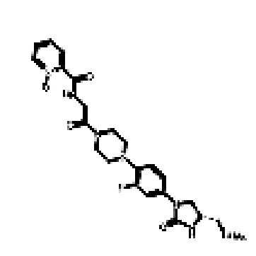 CC(=O)NC[C@H]1CN(c2ccc(N3CCN(C(=O)CNC(=O)c4cccc[n+]4[O-])CC3)c(F)c2)C(=O)N1